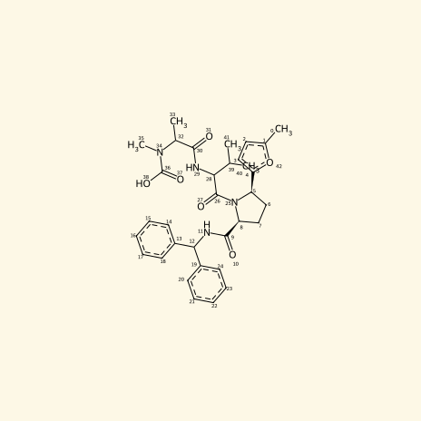 Cc1ccc([C@H]2CC[C@@H](C(=O)NC(c3ccccc3)c3ccccc3)N2C(=O)C(NC(=O)C(C)N(C)C(=O)O)C(C)C)o1